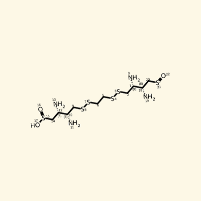 N[C@@H](CSSCCSSC[C@H](N)[C@@H](N)CS(=O)O)[C@@H](N)C[S]=O